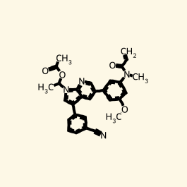 C=CC(=O)N(C)c1cc(OC)cc(-c2cnc3c(c2)c(-c2cccc(C#N)c2)cn3C(C)OC(C)=O)c1